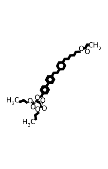 C=CC(=O)OCCCCCCC1CCC(CCc2ccc(-c3ccc(C4O[C@@H](C(=O)OCCCC)[C@H](C(=O)OCCCC)O4)cc3)cc2)CC1